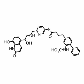 O=C(O)Nc1cc(CCCC(=O)Nc2ccc(CNCC(O)c3ccc(O)c4[nH]c(=O)ccc34)nc2)ccc1-c1ccccc1